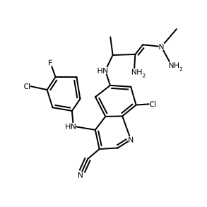 CC(Nc1cc(Cl)c2ncc(C#N)c(Nc3ccc(F)c(Cl)c3)c2c1)/C(N)=C/N(C)N